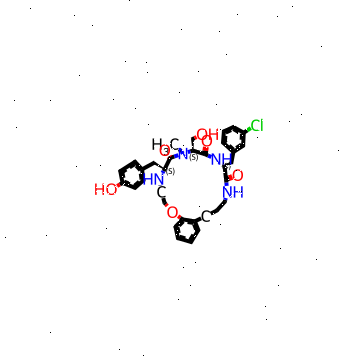 CN1C(=O)[C@H](Cc2ccc(O)cc2)NCCOc2ccccc2CCCNC(=O)[C@H](Cc2cccc(Cl)c2)NC(=O)[C@@H]1CO